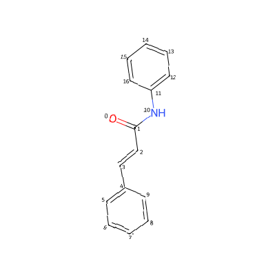 O=C(C=Cc1cc[c]cc1)Nc1ccccc1